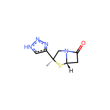 C[C@]1(c2c[nH]nn2)CN2C(=O)C[C@@H]2S1